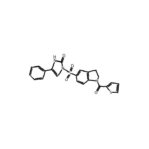 O=C(c1cccs1)N1CCc2cc(S(=O)(=O)n3cc(-c4ccccc4)[nH]c3=O)ccc21